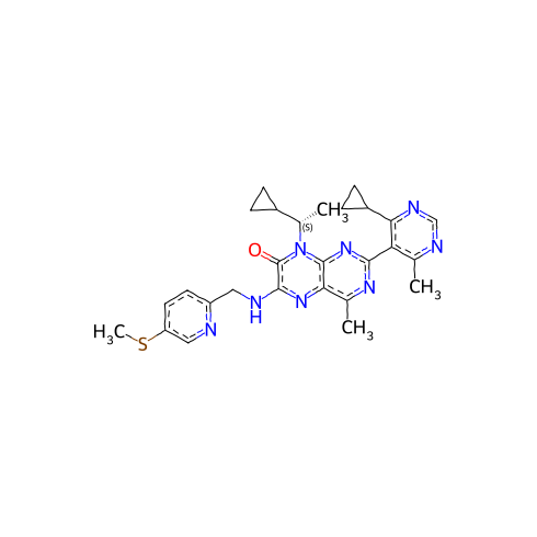 CSc1ccc(CNc2nc3c(C)nc(-c4c(C)ncnc4C4CC4)nc3n([C@@H](C)C3CC3)c2=O)nc1